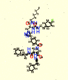 CCCCCCNC(=O)C(Cn1cc(-c2ccc(C(=O)N3C[C@@H](C(=O)N[C@H]4C[C@@H]4c4ccccc4)[C@H](C(=O)N[C@H]4C[C@@H]4c4ccccc4)C3)cc2)nn1)NC(=O)NCCc1ccc(F)cc1